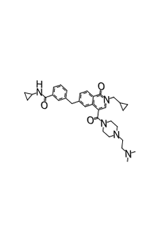 CN(C)CCN1CCN(C(=O)c2cn(CC3CC3)c(=O)c3ccc(Cc4cccc(C(=O)NC5CC5)c4)cc23)CC1